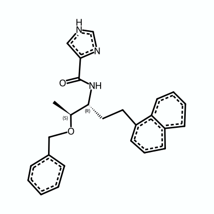 C[C@H](OCc1ccccc1)[C@@H](CCc1cccc2ccccc12)NC(=O)c1c[nH]cn1